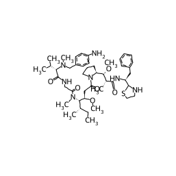 CC[C@H](C)[C@@H]([C@@H](CC(=O)N1CCC[C@H]1[C@H](OC)[C@@H](C)C(=O)N[C@@H](Cc1ccccc1)C1NCCS1)OC)N(C)C(=O)CNC(=O)[C@H](C(C)C)N(C)Cc1ccc(N)cc1